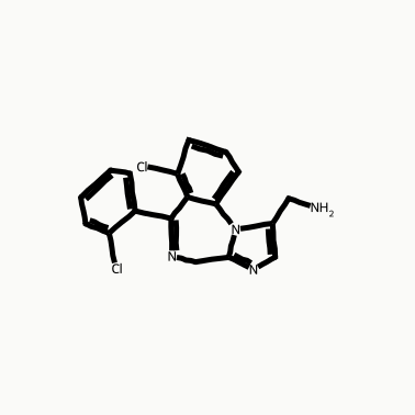 NCc1cnc2n1-c1cccc(Cl)c1C(c1ccccc1Cl)=NC2